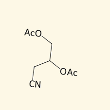 CC(=O)OCC(CC#N)OC(C)=O